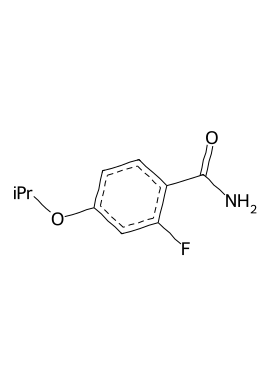 CC(C)Oc1ccc(C(N)=O)c(F)c1